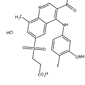 COc1cc(Nc2c(C(N)=O)cnc3c(C)cc(S(=O)(=O)CCC(=O)O)cc23)ccc1F.Cl